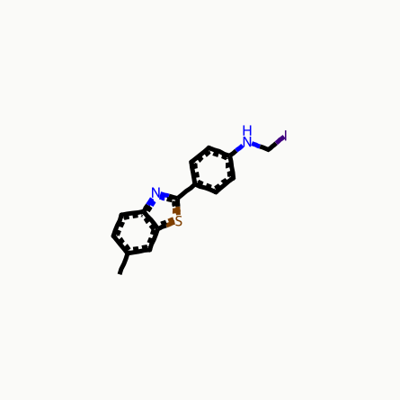 Cc1ccc2nc(-c3ccc(NCI)cc3)sc2c1